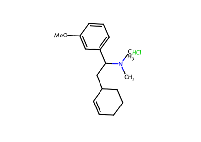 COc1cccc(C(CC2C=CCCC2)N(C)C)c1.Cl